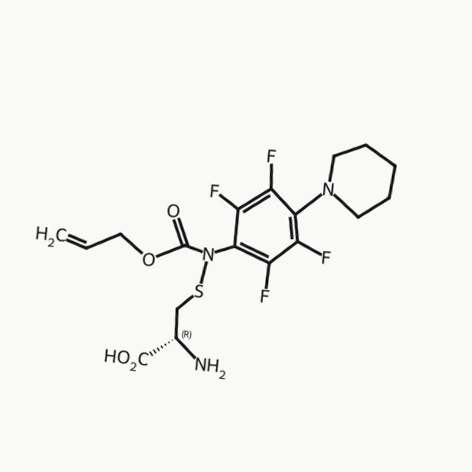 C=CCOC(=O)N(SC[C@H](N)C(=O)O)c1c(F)c(F)c(N2CCCCC2)c(F)c1F